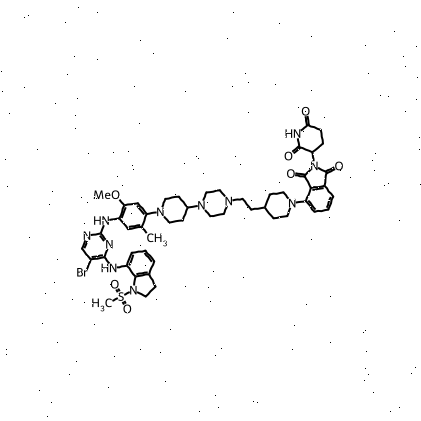 COc1cc(N2CCC(N3CCN(CCC4CCN(c5cccc6c5C(=O)N(C5CCC(=O)NC5=O)C6=O)CC4)CC3)CC2)c(C)cc1Nc1ncc(Br)c(Nc2cccc3c2N(S(C)(=O)=O)CC3)n1